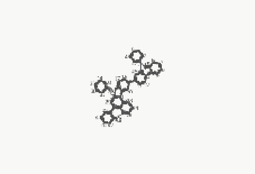 c1ccc(-n2c3ccccc3c3ccc(-c4ccc5c(c4)c4c6cccc7c6c(cc4n5-c4ccccc4)-c4ccccc4S7)cc32)cc1